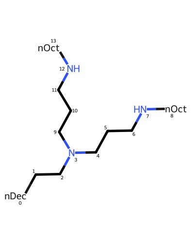 CCCCCCCCCCCCN(CCCNCCCCCCCC)CCCNCCCCCCCC